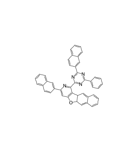 C1=c2ccccc2=CC2c3c(cc(-c4ccc5ccccc5c4)nc3-c3nc(-c4ccccc4)nc(-c4ccc5ccccc5c4)n3)OC12